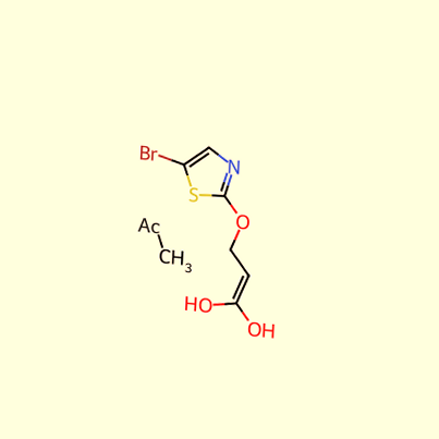 CC(C)=O.OC(O)=CCOc1ncc(Br)s1